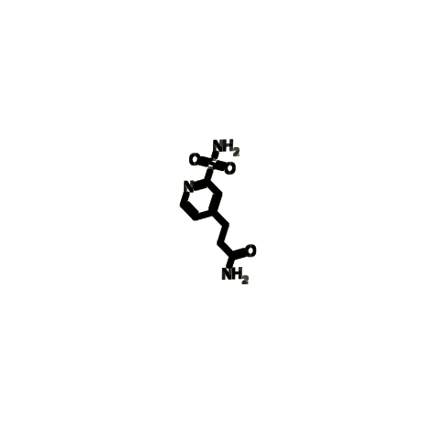 NC(=O)CCc1ccnc(S(N)(=O)=O)c1